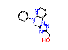 OCc1nc2n(n1)-c1cccnc1N(c1ccccc1)C2